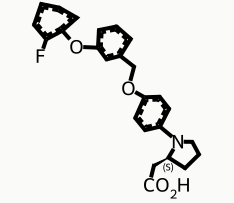 O=C(O)C[C@@H]1CCCN1c1ccc(OCc2cccc(Oc3ccccc3F)c2)cc1